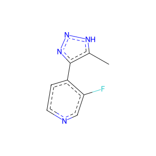 Cc1[nH]nnc1-c1ccncc1F